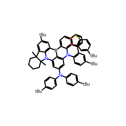 CC(C)(C)c1ccc(N(c2ccc(C(C)(C)C)cc2)c2cc3c4c(c2)N2c5c(cc(C(C)(C)C)cc5C5(C)CCCCC25C)B4c2ccc4sc5ccc(C(C)(C)C)cc5c4c2N3c2ccc(C(C)(C)C)cc2-c2ccccc2)cc1